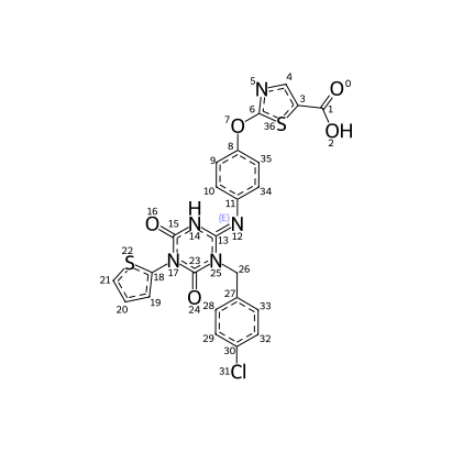 O=C(O)c1cnc(Oc2ccc(/N=c3\[nH]c(=O)n(-c4cccs4)c(=O)n3Cc3ccc(Cl)cc3)cc2)s1